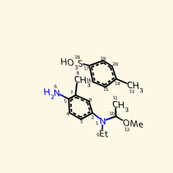 CCN(c1ccc(N)c(C)c1)C(C)OC.Cc1ccc(S(=O)(=O)O)cc1